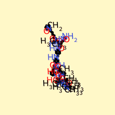 C=C1C=CC(=O)N1CCCCCC(=O)CC(C(=O)N[C@@H](CCCNC(N)=O)C(=O)Nc1ccc(CNc2ccc(NC(=O)[C@H](Cc3ccccc3)NC(=O)[C@H](C)[C@@H](CO)[C@@H]3CCCN3C(=O)C[C@@H](CO)[C@H]([C@@H](C)CC)N(C)C(=O)[C@@H](NC(=O)[C@H](C(C)C)N(C)C)C(C)C)cc2)cc1)C(C)C